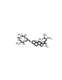 C=C(C)C(=O)OCC(CC[C@H]1CC[C@@]2(C)C(CCC3C2CC[C@@]2(C)C3CC[C@@H]2[C@H](C)CC[C@@H](C)C(C)C)C1)COC(=O)C(=C)CO